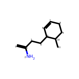 C=C(N)CCC1C=CCCC1C